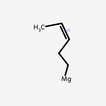 C/C=C\C[CH2][Mg]